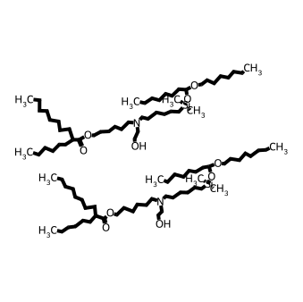 CCCCCCCCOC(CCCCCCC)O[Si](C)(C)CCCCCCN(CCO)CCCCCCOC(=O)C(CCCCCC)CCCCCCCC.CCCCCCCCOC(CCCCCCC)O[Si](C)(C)CCCCCCN(CCO)CCCCCCOC(=O)C(CCCCCC)CCCCCCCC